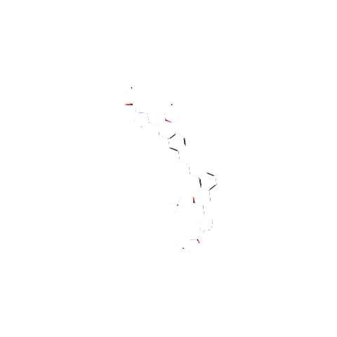 CC(C)(C)OC(=O)[C@@H](Cc1cccc(CCCc2cccc(C[C@H](C(=O)OC(C)(C)C)[C@H]3CCN(C(=O)OC(C)(C)C)C3)c2)c1)[C@H]1CCN(C(=O)OC(C)(C)C)C1